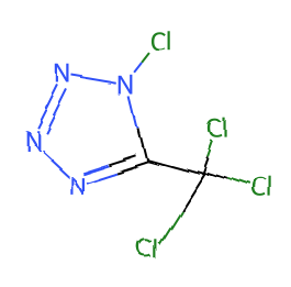 Cln1nnnc1C(Cl)(Cl)Cl